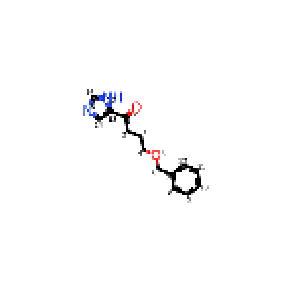 O=C(CCCOCc1ccccc1)c1cnc[nH]1